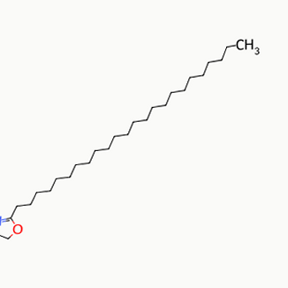 CCCCCCCCCCCCCCCCCCCCCCCCC1=NCCO1